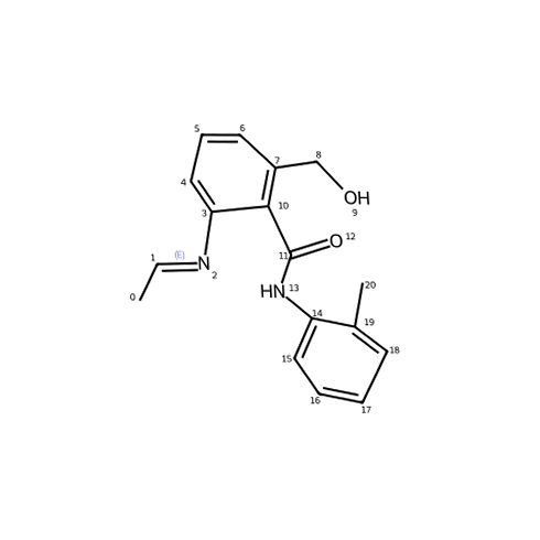 C/C=N/c1cccc(CO)c1C(=O)Nc1ccccc1C